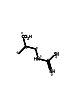 CC(CNC(=N)S)C(=O)O